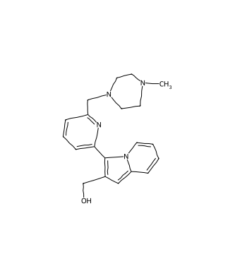 CN1CCN(Cc2cccc(-c3c(CO)cc4ccccn34)n2)CC1